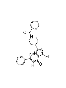 CCc1nc(C2CCN(C(=O)c3ccccc3)CC2)n2nc(-c3ccccc3)[nH]c(=O)c12